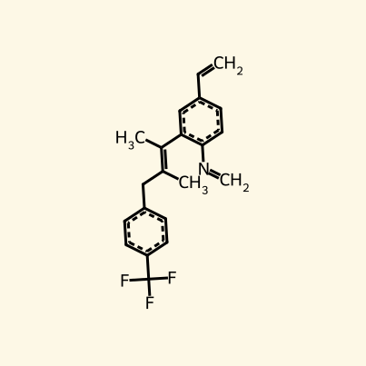 C=Cc1ccc(N=C)c(/C(C)=C(\C)Cc2ccc(C(F)(F)F)cc2)c1